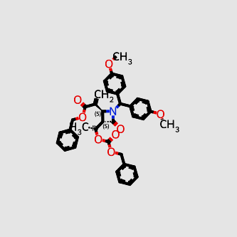 C=C(C(=O)OCc1ccccc1)[C@@H]1[C@@H]([C@@H](C)OC(=O)OCc2ccccc2)C(=O)N1C(c1ccc(OC)cc1)c1ccc(OC)cc1